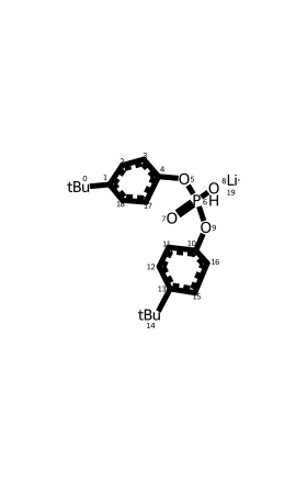 CC(C)(C)c1ccc(OP(=O)(O)Oc2ccc(C(C)(C)C)cc2)cc1.[Li]